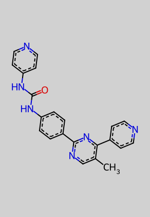 Cc1cnc(-c2ccc(NC(=O)Nc3ccncc3)cc2)nc1-c1ccncc1